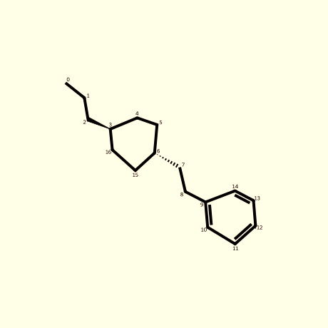 CCC[C@H]1CC[C@H](CCc2cc[c]cc2)CC1